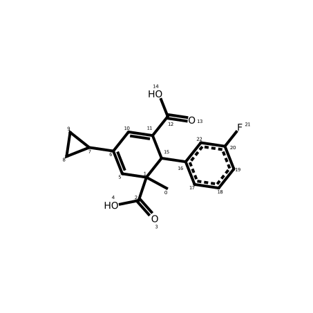 CC1(C(=O)O)C=C(C2CC2)C=C(C(=O)O)C1c1cccc(F)c1